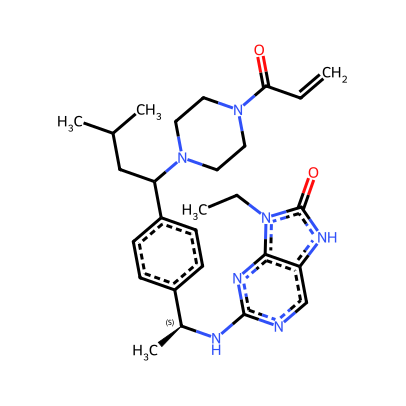 C=CC(=O)N1CCN(C(CC(C)C)c2ccc([C@H](C)Nc3ncc4[nH]c(=O)n(CC)c4n3)cc2)CC1